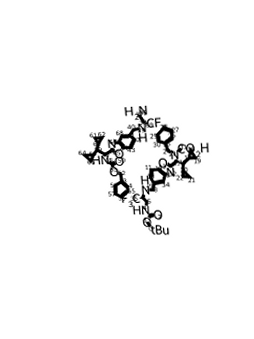 CC(C)(C)OC(=O)NC[C@@H](NCc1ccc2oc([C@H](C(C3CC3)C3CC3)N(Cc3ccccc3)C(=O)O)nc2c1)C(F)(F)F.NC[C@@H](NCc1ccc2oc([C@@H](NC(=O)OCc3ccccc3)C(C3CC3)C3CC3)nc2c1)C(F)(F)F